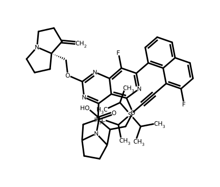 C=C1CCN2CCC[C@]12COc1nc2c3c(nc(-c4cccc5ccc(F)c(C#C[Si](C(C)C)(C(C)C)C(C)C)c45)c(F)c3n1)OCC1C3CCC(CN21)N3C(=O)O